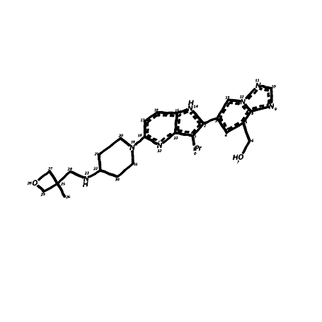 CC(C)c1c(-c2cc(CO)c3ncnn3c2)[nH]c2ccc(N3CCC(NCC4(C)COC4)CC3)nc12